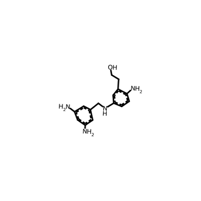 Nc1cc(N)cc(CNc2ccc(N)c(CCO)c2)c1